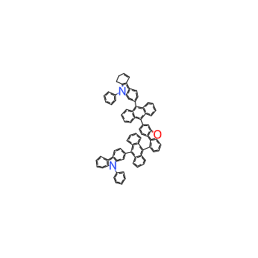 C1=Cc2c(n(-c3ccccc3)c3cc(-c4c5ccccc5c(-c5ccc6c(c5)oc5cccc(-c7c8ccccc8c(-c8ccc9c%10ccccc%10n(-c%10ccccc%10)c9c8)c8ccccc78)c56)c5ccccc45)ccc23)CC1